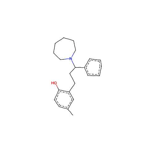 Cc1ccc(O)c(CCC(c2ccccc2)N2CCCCCC2)c1